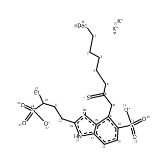 CCCCCCCCCCCCCCCC(=S)Cc1c(S(=O)(=O)[O-])ccc2[nH]c(CCC(CC)S(=O)(=O)[O-])nc12.[K+].[K+]